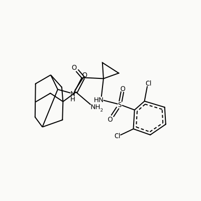 NC(=O)C12CC3CC(C1)C(NC(=O)C1(NS(=O)(=O)c4c(Cl)cccc4Cl)CC1)C(C3)C2